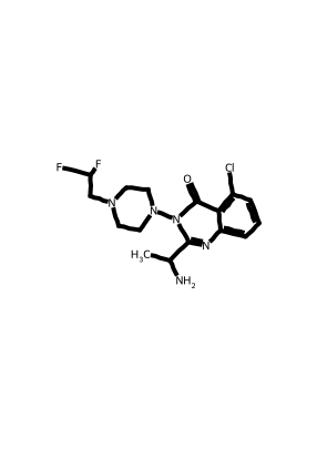 CC(N)c1nc2cccc(Cl)c2c(=O)n1N1CCN(CC(F)F)CC1